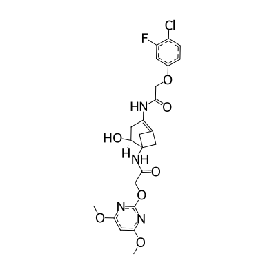 COc1cc(OC)nc(OCC(=O)NC23CC(=C(NC(=O)COc4ccc(Cl)c(F)c4)C[C@@H]2O)C3)n1